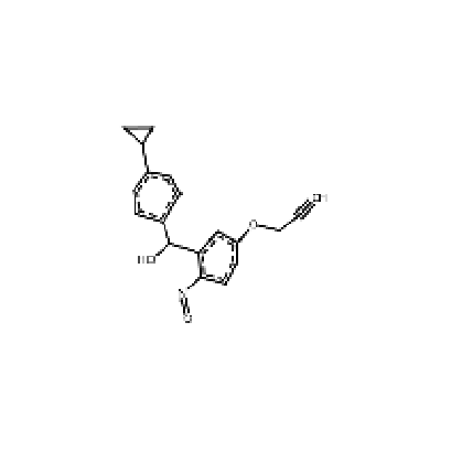 C#CCOc1ccc(N=O)c(C(O)c2ccc(C3CC3)cc2)c1